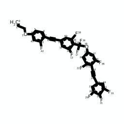 C=CCOc1ccc(C#Cc2cc(F)c(C(F)(F)Oc3cc(F)c(C#Cc4cc(F)c(F)c(F)c4)c(F)c3)c(F)c2)c(F)c1